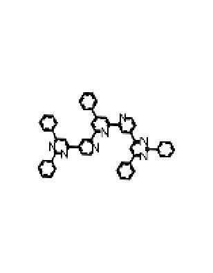 c1ccc(-c2cc(-c3cc(-c4cc(-c5ccccc5)nc(-c5ccccc5)n4)ccn3)nc(-c3cc(-c4cc(-c5ccccc5)nc(-c5ccccc5)n4)ccn3)c2)cc1